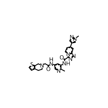 Cc1ncc(NC(=O)CN2CCc3ccsc3C2)cc1NC(=O)c1nnc2cc(-c3cnn(C)c3)ccn12